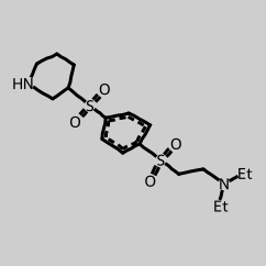 CCN(CC)CCS(=O)(=O)c1ccc(S(=O)(=O)C2CCCNC2)cc1